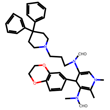 CC1=C(N(C)C=O)C(c2ccc3c(c2)OCCO3)C(N(C=O)CCCN2CCC(c3ccccc3)(c3ccccc3)CC2)=CN1C